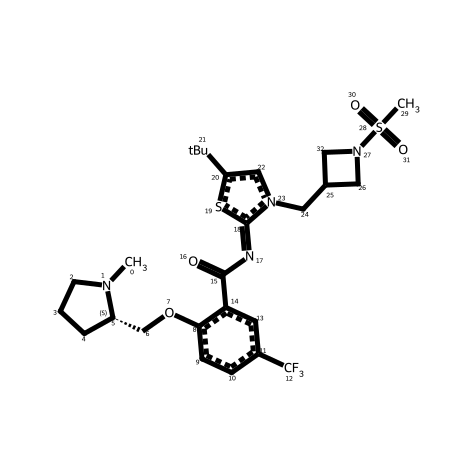 CN1CCC[C@H]1COc1ccc(C(F)(F)F)cc1C(=O)N=c1sc(C(C)(C)C)cn1CC1CN(S(C)(=O)=O)C1